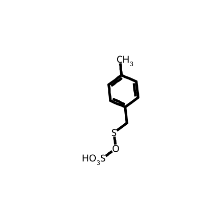 Cc1ccc(CSOS(=O)(=O)O)cc1